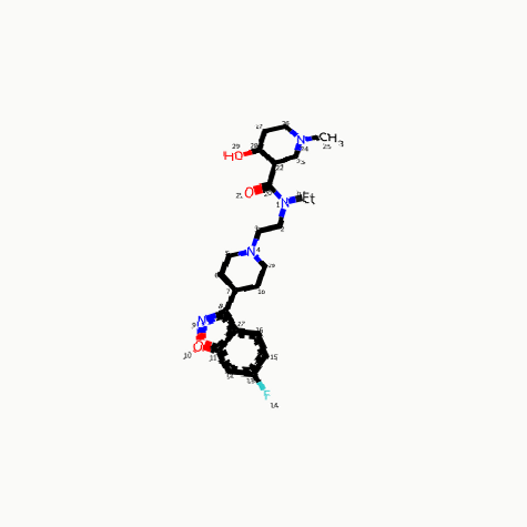 CCN(CCN1CCC(c2noc3cc(F)ccc23)CC1)C(=O)C1CN(C)CCC1O